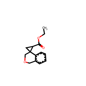 CCOC(=O)C1CC12COCc1ccccc12